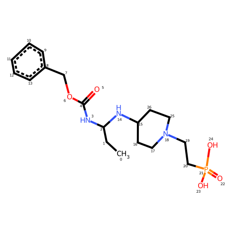 CCC(NC(=O)OCc1ccccc1)NC1CCN(CCP(=O)(O)O)CC1